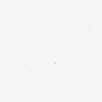 C(OCC1CO1)C1CO1.CCCCCCCCCCCC1CO1